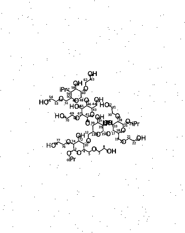 CC(C)O[C@@H]1OC(COCCO)[C@@H](OCC2O[C@@H](O[C@H]3C(COCCO)O[C@@H](OC(C)C)[C@@H](OCCO)C3O)[C@@H](O)C(O)[C@H]2O[C@@H]2OC(CO)[C@H](O[C@@H]3OC(COCCO)[C@@H](C(C)C)C(O)[C@@H]3OCCO)C(O)[C@@H]2OCCO)C(O)[C@@H]1OCCO